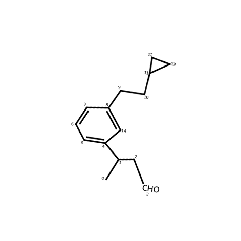 CC(CC=O)c1cccc(CCC2CC2)c1